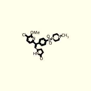 COc1nc(C(=C[C@H]2CCC(=O)N2)c2ccc(S(=O)(=O)N3CCN(C)CC3)cc2)ccc1Cl